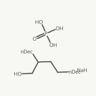 CCCCCCCCCCCCC(CO)CCCCCCCCCC.O=P(O)(O)O.[NaH]